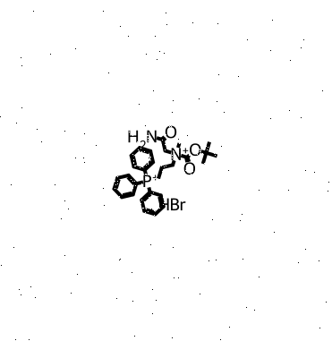 Br.CC(C)(C)OC(=O)[N+](C)(CCC[P+](c1ccccc1)(c1ccccc1)c1ccccc1)CC(N)=O